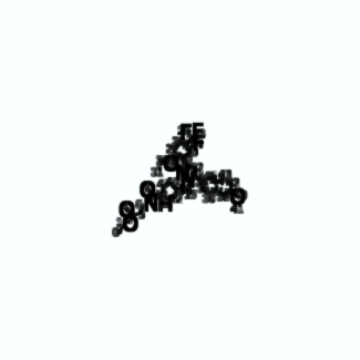 CCOC(=O)CCNC(=O)c1ccc([C@H](C)n2nc(-c3cc(C(F)(F)F)ccc3OCC)cc2-c2ccc3cc(OC)ccc3c2)cc1